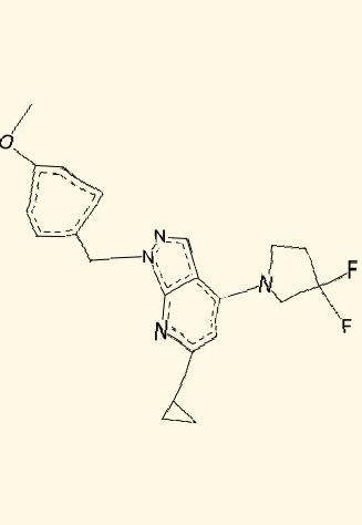 COc1ccc(Cn2ncc3c(N4CCC(F)(F)C4)cc(C4CC4)nc32)cc1